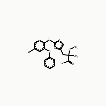 COC(C)(Cc1csc(Nc2ncc(Br)cc2Oc2ccccc2)n1)C(=O)O